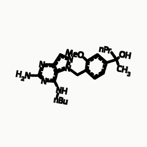 CCCCNc1nc(N)nc2cnn(Cc3ccc(C(C)(O)CCC)cc3OC)c12